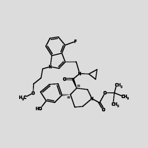 COCCCn1cc(CN(C(=O)[C@H]2CN(C(=O)OC(C)(C)C)CC[C@@H]2c2cccc(O)c2)C2CC2)c2c(F)cccc21